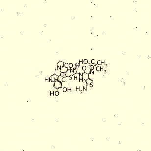 C[C@@H]1S[C@@H]2[C@H](NC(=O)/C(=N\OC(C)(C)C(=O)O)c3csc(N)n3)C(=O)N2C(C(=O)O)=C1C[N+]1(Cc2c[nH]c3cc(O)c(O)cc3c2=O)CCCC1